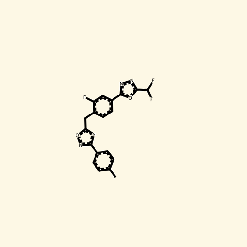 Cc1ccc(-c2noc(Cc3ccc(-c4nnc(C(F)F)o4)cc3F)n2)cc1